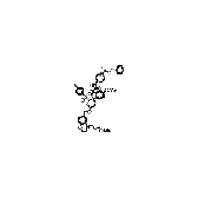 COCCCN1CCOc2ccc(CO[C@@H]3CC[C@](CC(C)(C)C(=O)NC4CCN(C(=O)OCc5ccccc5)CC4)(c4ccc(OC)cc4)N(S(=O)(=O)c4ccc(C)cc4)C3)cc21